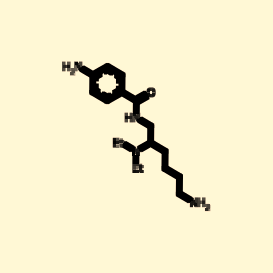 CCN(CC)C(CCCCN)CNC(=O)c1ccc(N)cc1